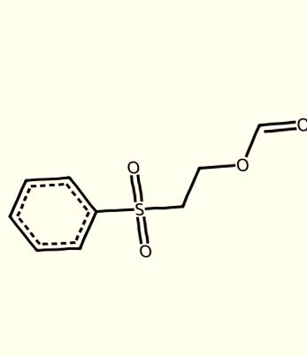 O=COCCS(=O)(=O)c1ccccc1